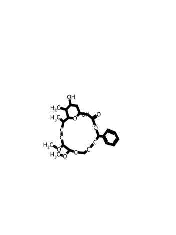 COC1CCCCC(c2ccccc2)OC(=O)CC2(O)CC(O)C(C)C(O2)C(C)CCC1OC